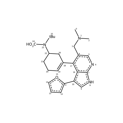 CN(C)Cc1cnc2[nH]cc(-c3ccco3)c2c1C1=CCCC(N(C(=O)O)C(C)(C)C)C1